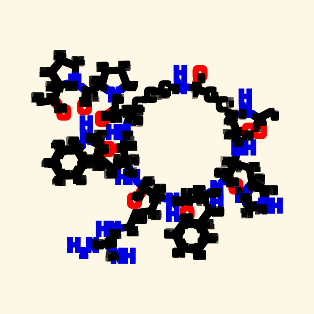 CC(=O)N[C@H]1CCC(=O)NCCC[C@@H](C(=O)N2CCC[C@@H]2C(=O)N2CCC[C@@H]2C(C)=O)NC(=O)[C@H](Cc2c[nH]c3ccccc23)NC(=O)[C@H](CCCNC(=N)N)NC(=O)[C@@H](Cc2ccccc2)NC(=O)[C@H](Cc2c[nH]cn2)NC1=O